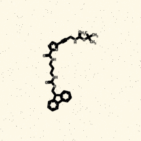 CC(C)(C)OC(=O)NCC#Cc1ccc(C(=O)NCCCNC(=O)OCC2c3ccccc3-c3ccccc32)o1